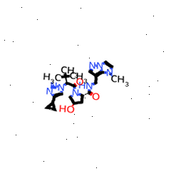 Cn1ccn2ncc(CNC(=O)[C@@H]3C[C@@H](O)CN3C(=O)[C@@H](n3cc(C4CC4)nn3)C(C)(C)C)c12